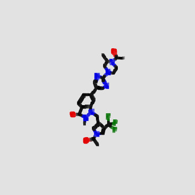 CC(=O)N1CCN(c2ncc(-c3ccc4c(=O)n(C)n(Cc5cn(C(C)=O)cc5C(F)(F)F)c4c3)cn2)CC1C